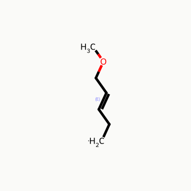 [CH2]C/C=C/COC